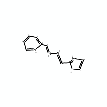 C(=N/N=C/c1nccs1)c1ccccn1